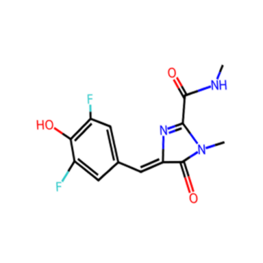 CNC(=O)C1=N/C(=C\c2cc(F)c(O)c(F)c2)C(=O)N1C